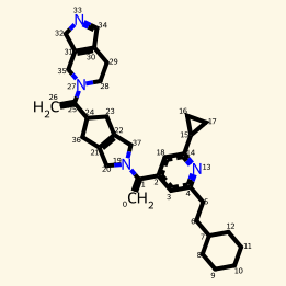 C=C(c1cc(CCC2CCCCC2)nc(C2CC2)c1)N1CC2=C(CC(C(=C)N3CCC4=C(CN=C4)C3)C2)C1